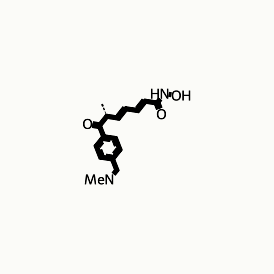 CNCc1ccc(C(=O)[C@H](C)/C=C/C=C/C(=O)NO)cc1